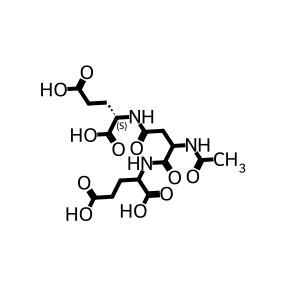 CC(=O)NC(CC(=O)N[C@@H](CCC(=O)O)C(=O)O)C(=O)NC(CCC(=O)O)C(=O)O